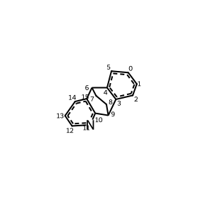 c1ccc2c(c1)C1CCC2c2ncccc21